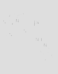 Cl.Cl.N#Cc1cnc2ccc(=O)n(CCN3CCC(NCc4cc5c(cn4)OCCO5)CC3)c2c1